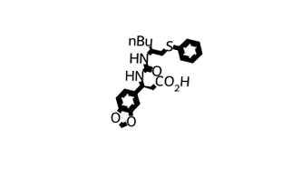 CCCC[C@@H](CSc1ccccc1)NC(=O)N[C@@H](CC(=O)O)c1ccc2c(c1)OCO2